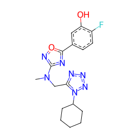 CN(Cc1nnnn1C1CCCCC1)c1noc(-c2ccc(F)c(O)c2)n1